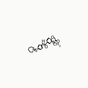 CN1C(=O)COc2ccc(C(=O)Nc3ccc(SN4CCCCCC4)cc3)cc21